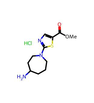 COC(=O)c1cnc(N2CCCC(N)CC2)s1.Cl